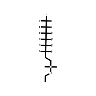 CCO[Si](C)(C)CCC(F)(F)C(F)(F)C(F)(F)C(F)(F)C(F)(F)C(F)(F)F